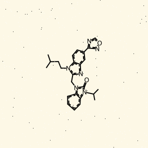 CC(C)CCn1c(Cn2c(=O)n(C(C)C)c3ccccc32)nc2cc(-c3ncon3)ccc21